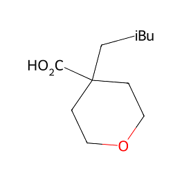 CCC(C)CC1(C(=O)O)CCOCC1